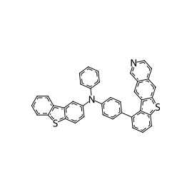 c1ccc(N(c2ccc(-c3cccc4sc5cc6ccncc6cc5c34)cc2)c2ccc3sc4ccccc4c3c2)cc1